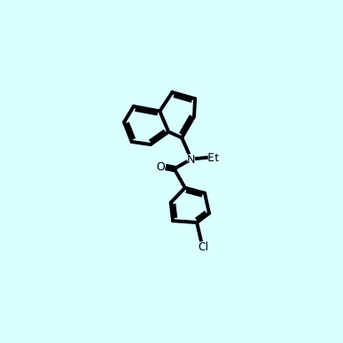 CCN(C(=O)c1ccc(Cl)cc1)c1cccc2ccccc12